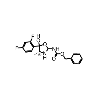 C[C@H]1NC(NC(=O)OCc2ccccc2)OC1(O)c1ccc(F)cc1F